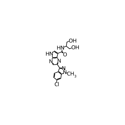 Cn1nc(-c2cnc3[nH]cc(C(=O)NC(CO)CO)c3n2)c2ccc(Cl)cc21